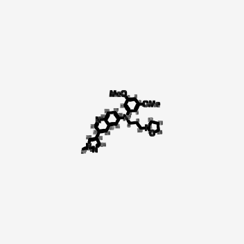 COc1cc(OC)cc(N(CCCN2CCCO2)c2ccc3ncc(-c4cnn(C)c4)cc3c2)c1